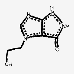 O=c1[nH][nH]c2ncn(CCO)c12